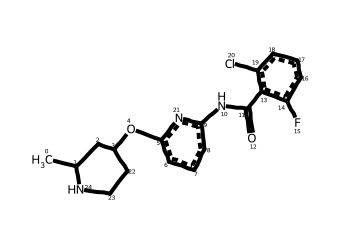 CC1CC(Oc2cccc(NC(=O)c3c(F)cccc3Cl)n2)CCN1